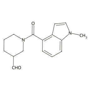 Cn1ccc2c(C(=O)N3CCCC(C=O)C3)cccc21